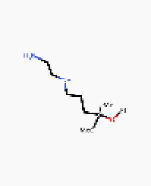 CCO[Si](CCCNCCN)(OC)OC